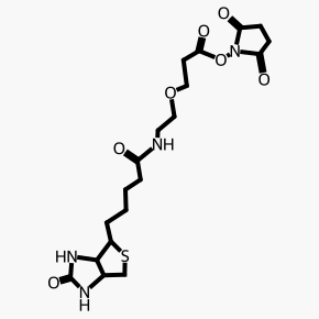 O=C(CCCCC1SCC2NC(=O)NC21)NCCOCCC(=O)ON1C(=O)CCC1=O